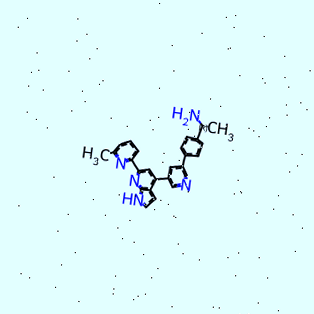 Cc1cccc(-c2cc(-c3cncc(-c4ccc([C@@H](C)N)cc4)c3)c3cc[nH]c3n2)n1